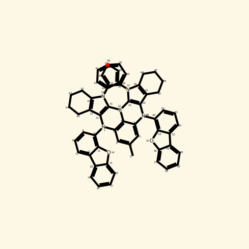 Cc1cc2c3c(c1)N(c1cccc4c1oc1ccccc14)c1c4c(n(-c5ccccc5)c1B3c1c(c3c(n1-c1ccccc1)CCCC3)N2c1cccc2c1oc1ccccc12)CCCC4